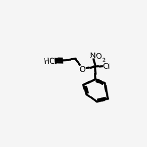 C#CCOC(Cl)(c1ccccc1)[N+](=O)[O-]